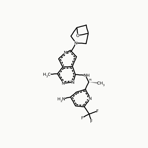 Cc1nnc(N[C@H](C)c2cc(N)cc(C(F)(F)F)n2)c2cc(N3CC4CC(C3)O4)ncc12